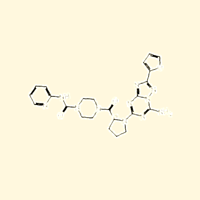 Nc1nc(N2CCC[C@H]2C(=O)N2CCN(C(=O)Nc3ccccn3)CC2)nc2nc(-c3ccco3)nn12